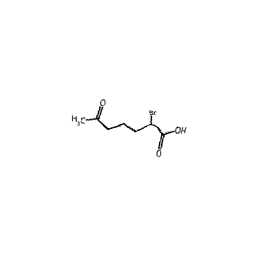 CC(=O)CCCC(Br)C(=O)O